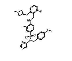 COc1ccc(CN(c2cscn2)S(=O)(=O)c2ccc(NCc3c(F)cccc3CN3CC(C)C3)c(C)n2)cc1